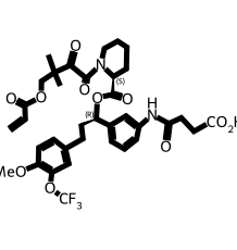 C=CC(=O)OCC(C)(C)C(=O)C(=O)N1CCCC[C@H]1C(=O)O[C@H](CCc1ccc(OC)c(OC(F)(F)F)c1)c1cccc(NC(=O)CCC(=O)O)c1